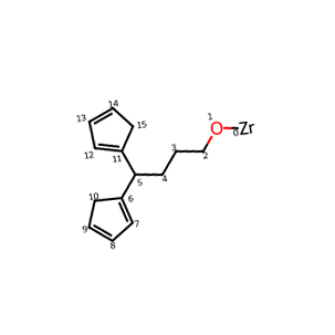 [Zr][O]CCCC(C1=CC=CC1)C1=CC=CC1